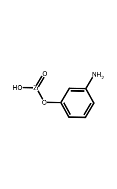 Nc1cccc([O][Zr](=[O])[OH])c1